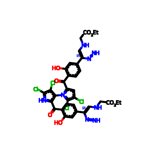 CCOC(=O)CN/C=C(\N=N)c1ccc(C(=O)c2[nH]c(Cl)c(Cl)c2-n2c(C(=O)c3ccc(/C(=C/NCC(=O)OCC)N=N)cc3O)cc(Cl)c2Cl)c(O)c1